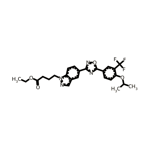 CCOC(=O)CCCn1ncc2cc(-c3noc(-c4ccc(OC(C)C)c(C(F)(F)F)c4)n3)ccc21